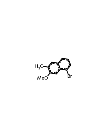 COc1cc2c(Br)cccc2cc1C